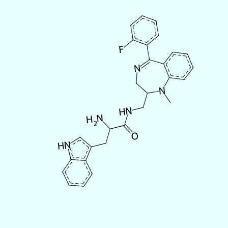 CN1c2ccccc2C(c2ccccc2F)=NCC1CNC(=O)C(N)Cc1c[nH]c2ccccc12